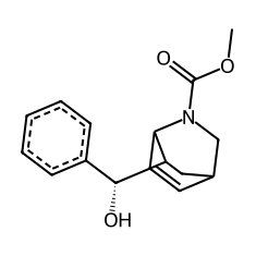 COC(=O)N1CC2C=CC1C([C@H](O)c1ccccc1)C2